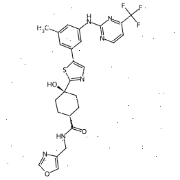 Cc1cc(Nc2nccc(C(F)(F)F)n2)cc(-c2cnc([C@]3(O)CC[C@@H](C(=O)NCc4cocn4)CC3)s2)c1